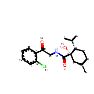 CC(C)[C@@H]1CC[C@@H](C)C[C@@]1(O)C(=O)NCC(=O)c1ccccc1Cl